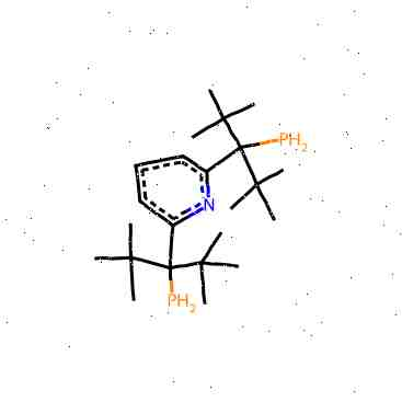 CC(C)(C)C(P)(c1cccc(C(P)(C(C)(C)C)C(C)(C)C)n1)C(C)(C)C